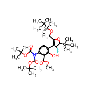 COC(=O)c1c(N(C(=O)OC(C)(C)C)C(=O)OC(C)(C)C)ccc(C2=C(CO[Si](C)(C)C(C)(C)C)OC([Si](C)(C)C)C2F)c1O